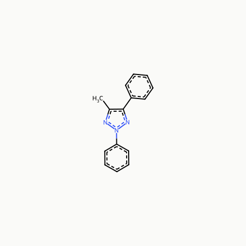 Cc1nn(-c2ccccc2)nc1-c1ccccc1